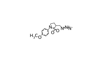 COc1ccc(N2CCC(CN=[N+]=[N-])S2(=O)=O)cc1